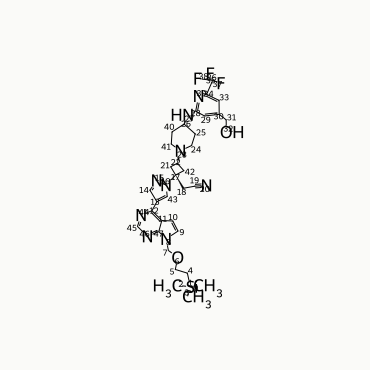 C[Si](C)(C)CCOCn1ccc2c(-c3cnn([C@]4(CC#N)C[C@@H](N5CCC(Nc6cc(CO)cc(C(F)(F)F)n6)CC5)C4)c3)ncnc21